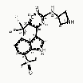 CP(C)(=O)c1cccc2c(-c3nc(NC4CNC4)ncc3C(F)(F)F)c[nH]c12